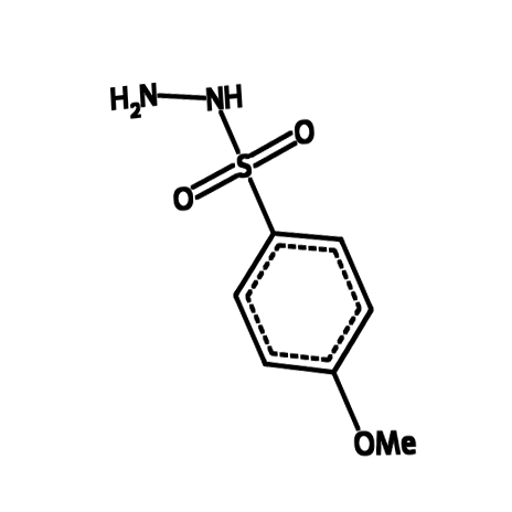 COc1ccc(S(=O)(=O)NN)cc1